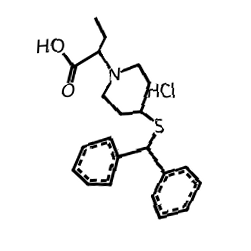 CCC(C(=O)O)N1CCC(SC(c2ccccc2)c2ccccc2)CC1.Cl